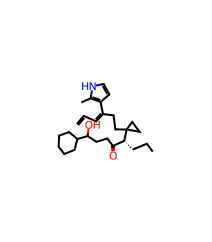 C=C/C=C(/CCC1([C@H](CCC)C(=O)CCC(O)C2CCCCC2)CC1)c1cc[nH]c1C